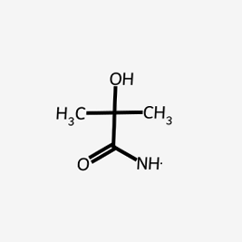 CC(C)(O)C([NH])=O